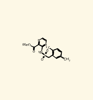 COC(=O)c1nccnc1NS(=O)(=O)Cc1cc(C)ccc1C(F)(F)F